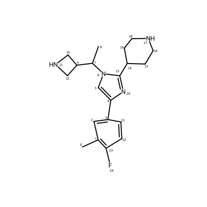 Cc1cc(-c2cn(C(C)C3CNC3)c(C3CCNCC3)n2)ccc1F